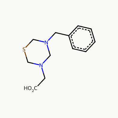 O=C(O)CN1CSCN(Cc2ccccc2)C1